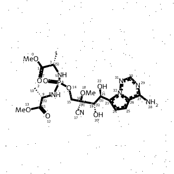 COC(=O)[C@H](C)NP(=O)(N[C@@H](C)C(=O)OC)OC[C@@](C#N)(OC)[C@@H](O)[C@@H](O)c1ccc2c(N)ncnn12